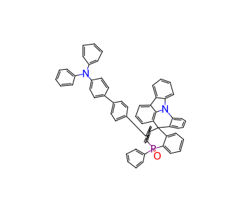 O=P1(c2ccccc2)c2ccccc2C2(c3ccccc3-n3c4ccccc4c4cccc2c43)c2cc(-c3ccc(-c4ccc(N(c5ccccc5)c5ccccc5)cc4)cc3)ccc21